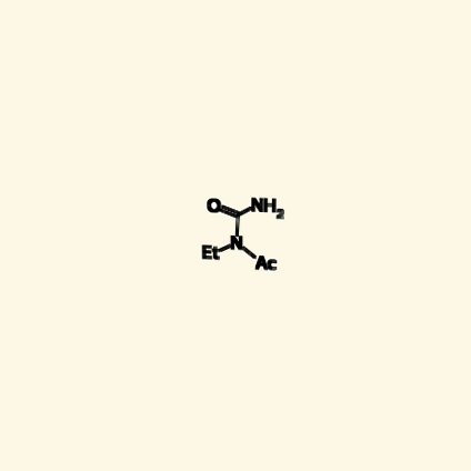 CCN(C(C)=O)C(N)=O